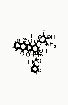 CC(OC(=O)Nc1ccccc1)[C@]1(O)Cc2c(O)c3c(c(O)c2[C@@H](O[C@H]2C[C@H](N)[C@H](O)[C@H](C)O2)C1)C(=O)c1ccccc1C3=O